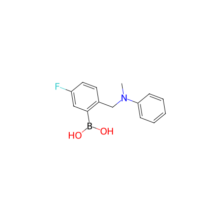 CN(Cc1ccc(F)cc1B(O)O)c1ccccc1